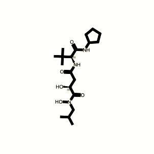 CC(C)CN(O)C(=O)[C@@H](O)CC(=O)N[C@H](C(=O)NC1CCCC1)C(C)(C)C